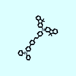 CC1(C)c2ccccc2-c2ccc(N(c3ccc(/C=C/c4ccc(-c5ccc(N(c6ccccc6)c6ccccc6)cc5)cc4)cc3)c3ccc4c(c3)C(C)(C)c3ccccc3-4)cc21